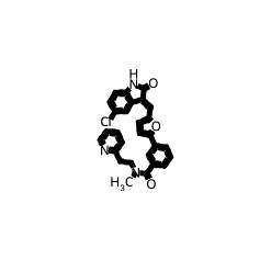 CN(CCc1ccccn1)C(=O)c1cccc(-c2ccc(/C=C3/C(=O)Nc4ccc(Cl)cc43)o2)c1